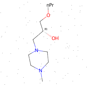 CCCOC[C@H](O)CN1CCN(C)CC1